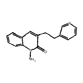 Nn1c(=O)c(CCc2cccnc2)cc2ccccc21